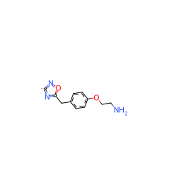 NCCOc1ccc(Cc2n[c]no2)cc1